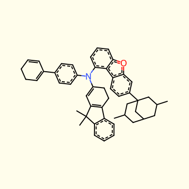 CC1CC2CC(C)CC(c3ccc4c(c3)oc3cccc(N(C5=CC6=C(CC5)c5ccccc5C6(C)C)c5ccc(C6=CCCC=C6)cc5)c34)(C1)C2